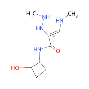 CN/C=C(\NNC)C(=O)NC1CCC1O